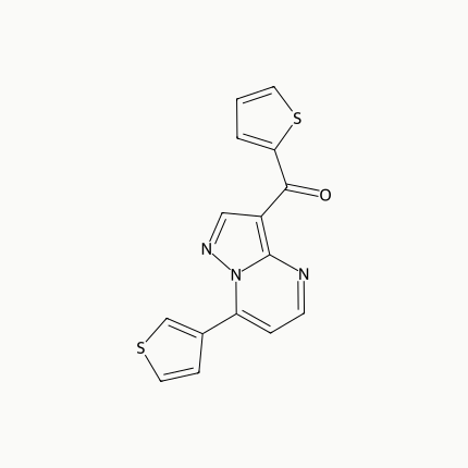 O=C(c1cccs1)c1cnn2c(-c3ccsc3)ccnc12